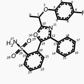 CC(Oc1ccc(F)cc1)c1nc(-c2ccccc2)c(-c2ccccc2S(N)(=O)=O)o1